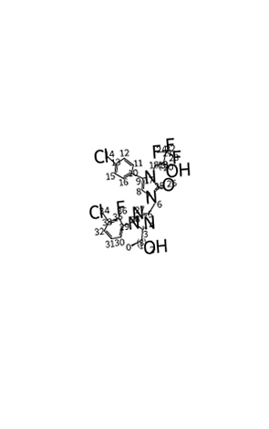 C[C@H](O)c1nc(Cn2cc(-c3ccc(Cl)cc3)n(C[C@H](O)C(F)(F)F)c2=O)nn1-c1cccc(Cl)c1F